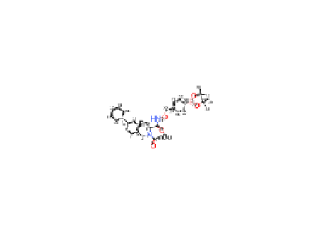 CCCCC(=O)N(Cc1ccc(-c2ccccc2)cc1)C(C(=O)NOCc1ccc(B2OC(C)(C)C(C)(C)O2)cc1)C(C)C